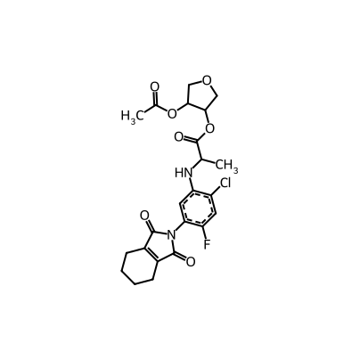 CC(=O)OC1COCC1OC(=O)C(C)Nc1cc(N2C(=O)C3=C(CCCC3)C2=O)c(F)cc1Cl